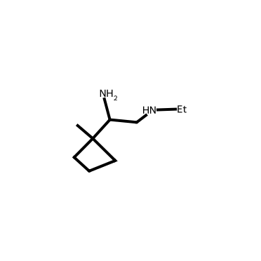 CCNCC(N)C1(C)CCC1